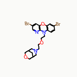 Brc1ccc2c(c1)Oc1cc(Br)cnc1N2CCOCCN1CC2COCC(C2)C1